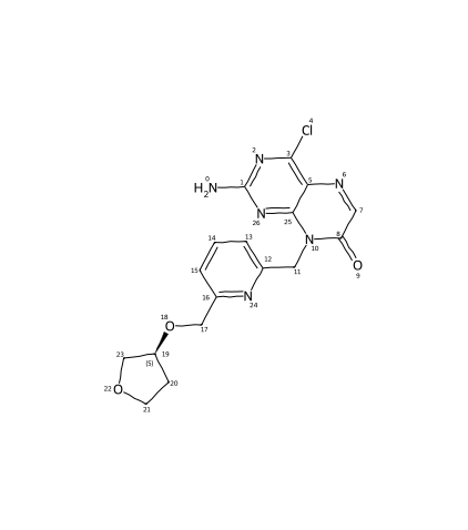 Nc1nc(Cl)c2ncc(=O)n(Cc3cccc(CO[C@H]4CCOC4)n3)c2n1